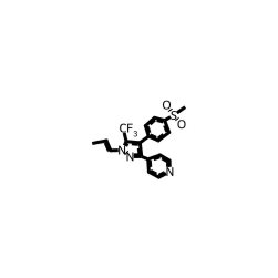 CC=Cn1nc(-c2ccncc2)c(-c2ccc(S(C)(=O)=O)cc2)c1C(F)(F)F